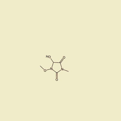 CON1C(=O)N(C)C(=O)C1O